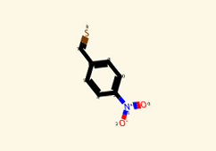 O=[N+]([O-])c1ccc([C]=S)cc1